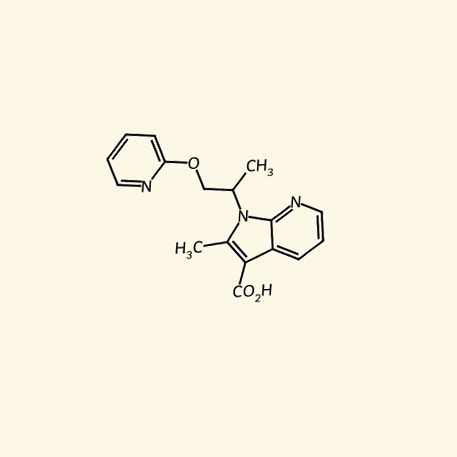 Cc1c(C(=O)O)c2cccnc2n1C(C)COc1ccccn1